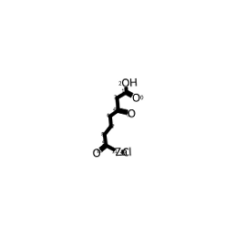 O=C(O)CC(=O)CCC[C](=O)[Zn][Cl]